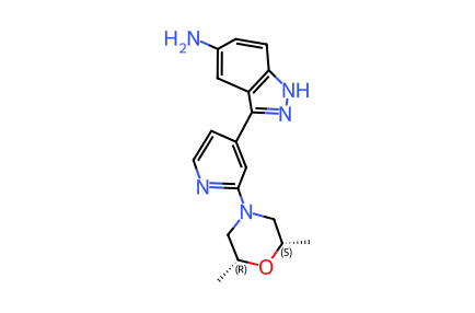 C[C@@H]1CN(c2cc(-c3n[nH]c4ccc(N)cc34)ccn2)C[C@H](C)O1